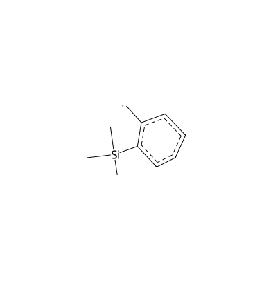 [CH2]c1ccccc1[Si](C)(C)C